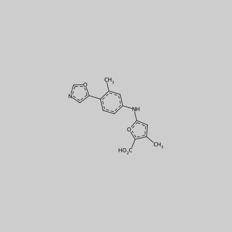 Cc1cc(Nc2cc(C)c(C(=O)O)o2)ccc1-c1cnco1